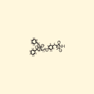 O=C1NC(=O)C(Cc2ccc(OCCN(CC(O)c3ccccc3)C(=O)OCc3ccccc3)cc2)S1